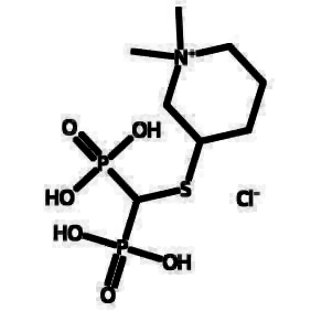 C[N+]1(C)CCCC(SC(P(=O)(O)O)P(=O)(O)O)C1.[Cl-]